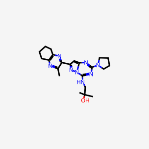 Cc1nc2c(nc1-c1cc3nc(N4CCCC4)nc(NCC(C)(C)O)n3n1)CCCC2